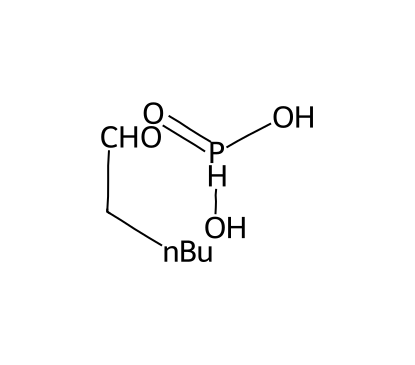 CCCCCC=O.O=[PH](O)O